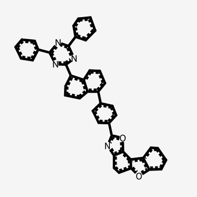 c1ccc(-c2nc(-c3ccccc3)nc(-c3cccc4c(-c5ccc(-c6nc7ccc8oc9ccccc9c8c7o6)cc5)cccc34)n2)cc1